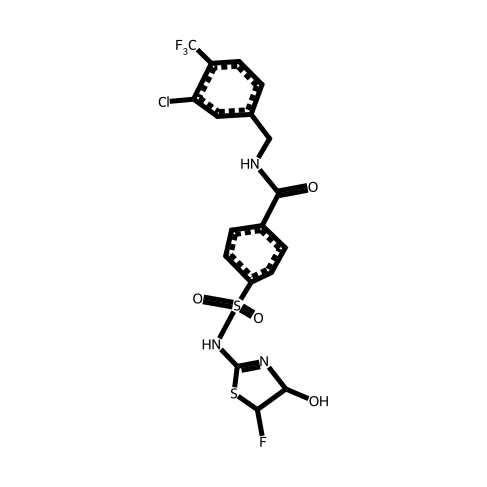 O=C(NCc1ccc(C(F)(F)F)c(Cl)c1)c1ccc(S(=O)(=O)NC2=NC(O)C(F)S2)cc1